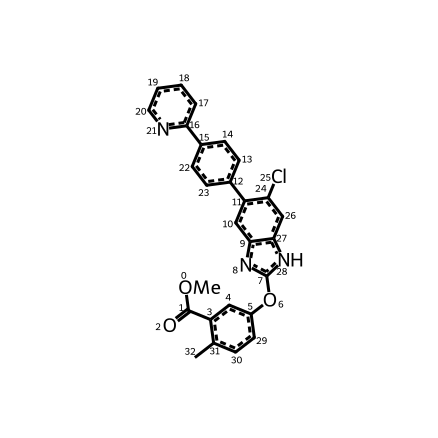 COC(=O)c1cc(Oc2nc3cc(-c4ccc(-c5ccccn5)cc4)c(Cl)cc3[nH]2)ccc1C